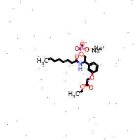 CCCCCCCC(=O)NC(COP(=O)([O-])[O-])c1cccc(OCC(=O)OCC)c1.[Na+].[Na+]